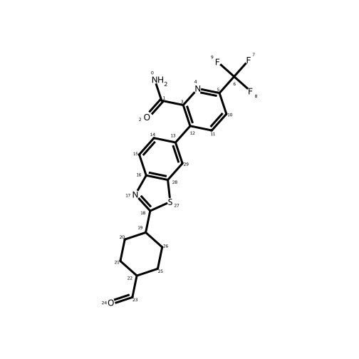 NC(=O)c1nc(C(F)(F)F)ccc1-c1ccc2nc(C3CCC(C=O)CC3)sc2c1